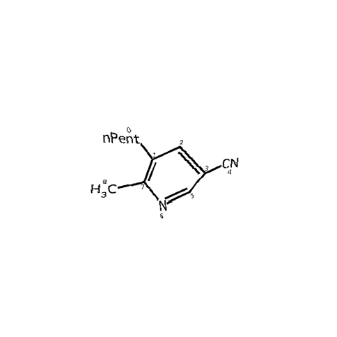 CCCCCc1cc(C#N)cnc1C